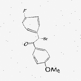 COc1ccc(C(=O)C(Br)c2ccc(F)cc2)cc1